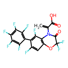 C=C(C(=O)O)N1C(=O)C(F)(F)Oc2cc(F)c(-c3c(F)c(F)c(F)c(F)c3F)c(F)c21